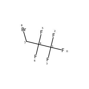 FC(F)(F)C(F)(F)[CH]Br